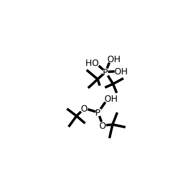 CC(C)(C)OP(O)OC(C)(C)C.CC(C)(C)P(O)(O)(O)C(C)(C)C